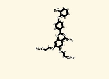 COCCOc1cc2nc(-c3ccc(Oc4ccccc4Br)cc3)nc(N)c2cc1OCCOC